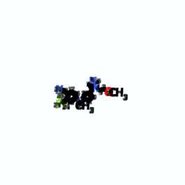 COCCn1cncc1C1=CCC(N(C)c2ccc(C#N)c(C(F)(F)F)c2)C1